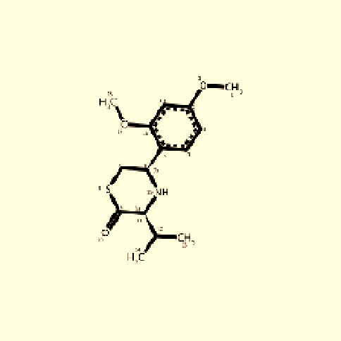 COc1ccc([C@@H]2CSC(=O)[C@H](C(C)C)N2)c(OC)c1